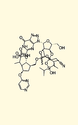 CC(C)C(=O)Nc1nc2c(nnn2[C@@H]2O[C@H](CO)[C@@H](O[Si](O[Si](O)(C(C)C)C(C)C)(C(C)C)C(C)C)[C@H]2O[P@](=S)(OCCC#N)OC[C@H]2C[C@@H](Oc3ccncn3)C[C@@H]2O[PH](=O)O)c(=O)[nH]1